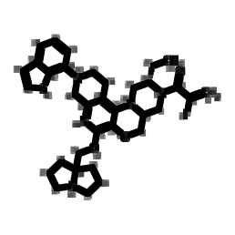 C=C(F)C(=O)N1CC2COc3c(OCC45CCCN4CCC5)nc4c(c3N2C[C@@H]1CC#N)CCN(c1cccc2ccsc12)C4